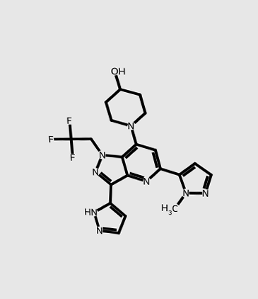 Cn1nccc1-c1cc(N2CCC(O)CC2)c2c(n1)c(-c1ccn[nH]1)nn2CC(F)(F)F